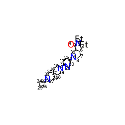 CCN(CC)C(=O)C1CCCN(c2ccc(N3CCC4(CC3)CCN(C3CCC3)CC4)nc2)C1